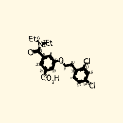 CCN(CC)C(=O)c1cc(OCCc2ccc(Cl)cc2Cl)cc(C(=O)O)c1